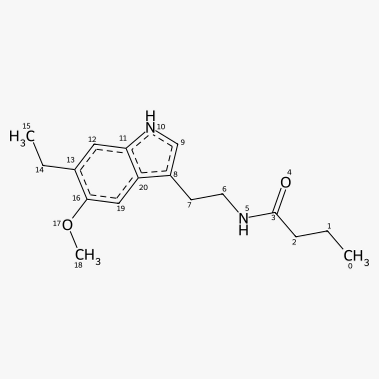 CCCC(=O)NCCc1c[nH]c2cc(CC)c(OC)cc12